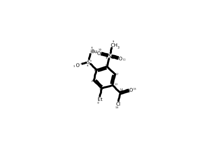 CCc1cc([S+]([O-])C(C)CC)c(S(C)(=O)=O)cc1C(=O)Cl